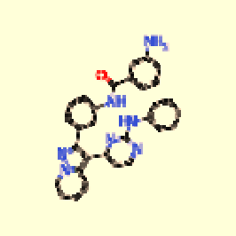 Nc1cccc(C(=O)Nc2cccc(-c3nn4ccccc4c3-c3ccnc(Nc4ccccc4)n3)c2)c1